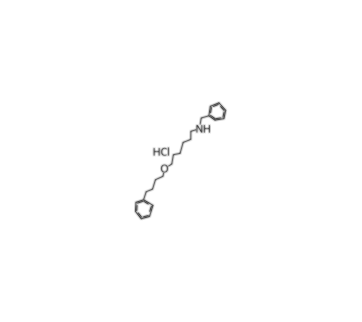 Cl.c1ccc(CCCCOCCCCCCNCc2ccccc2)cc1